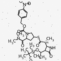 CC(O[Si](C)(C)C(C)(C)C)C1C(=O)NC1[C@@H](C)C(=O)SC1CC(C(=O)N(C)C)N(C(=O)OCc2ccc([N+](=O)[O-])cc2)C1